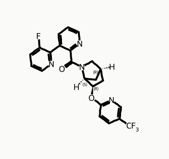 O=C(c1ncccc1-c1ncccc1F)N1C[C@H]2C[C@@H](Oc3ccc(C(F)(F)F)cn3)[C@@H]1C2